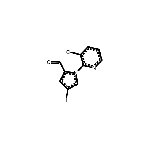 O=Cc1cc(I)cn1-c1ncccc1Cl